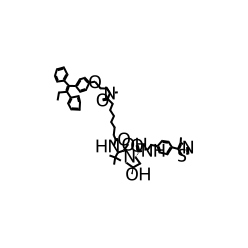 CC/C(=C(\c1ccccc1)c1ccc(OCCN(C)C(=O)CCCCCCC(=O)N[C@H](C(O)N2C[C@H](O)C[C@H]2C(=O)NCc2ccc(-c3scnc3C)cc2)C(C)(C)C)cc1)c1ccccc1